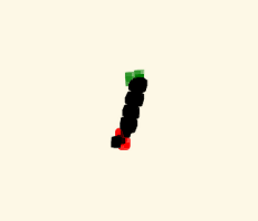 C=CC(=O)OCc1ccc(C2CCC(c3ccc(-c4ccc(F)c(F)c4)cc3)CC2)cc1